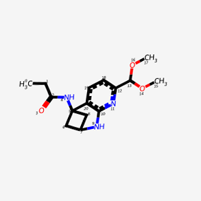 CCC(=O)NC12CC(C1)Nc1nc(C(OC)OC)ccc12